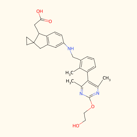 Cc1nc(OCCO)nc(C)c1-c1cccc(CNc2ccc3c(c2)CC2(CC2)C3CC(=O)O)c1C